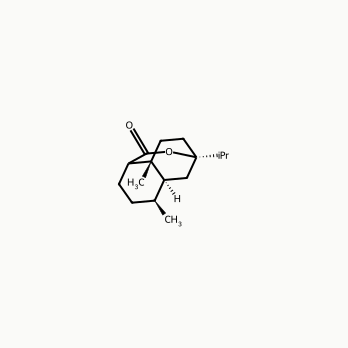 CC(C)[C@]12CC[C@@]3(C)C(CC[C@H](C)[C@@H]3C1)C(=O)O2